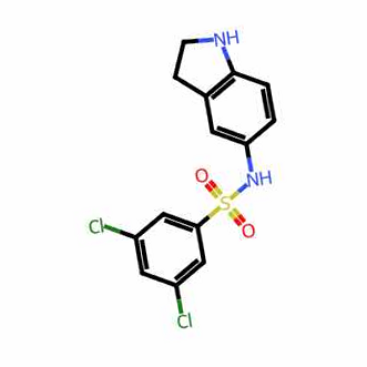 O=S(=O)(Nc1ccc2c(c1)CCN2)c1cc(Cl)cc(Cl)c1